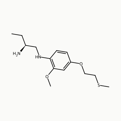 CC[C@H](N)CNc1ccc(OCCSC)cc1OC